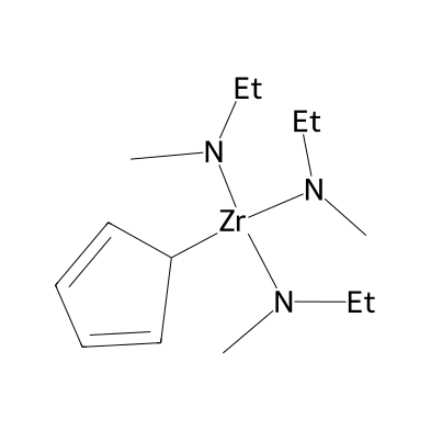 CC[N](C)[Zr]([CH]1C=CC=C1)([N](C)CC)[N](C)CC